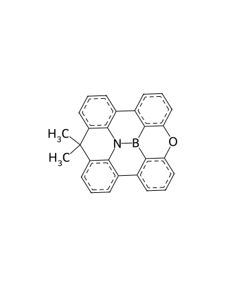 CC1(C)c2cccc3c2N2B4c5c(cccc5-3)Oc3cccc(c34)-c3cccc1c32